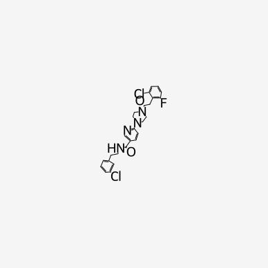 O=C(NCCc1cccc(Cl)c1)c1ccc(N2CCN(C(=O)Cc3c(F)cccc3Cl)CC2)nc1